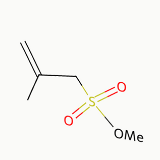 C=C(C)CS(=O)(=O)OC